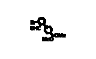 COC(OC)C1CCN(c2cccc(Br)c2C=O)CC1